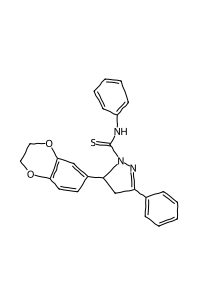 S=C(Nc1ccccc1)N1N=C(c2ccccc2)CC1c1ccc2c(c1)OCCO2